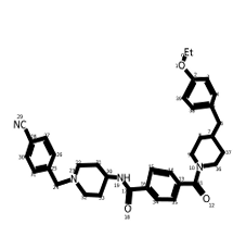 CCOc1ccc(CC2CCN(C(=O)c3ccc(C(=O)NC4CCN(Cc5ccc(C#N)cc5)CC4)cc3)CC2)cc1